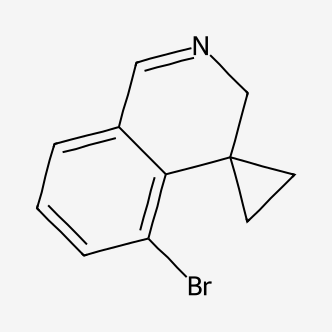 Brc1cccc2c1C1(CC1)CN=C2